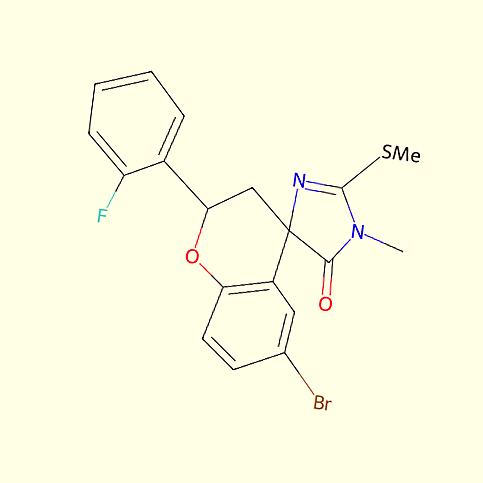 CSC1=NC2(CC(c3ccccc3F)Oc3ccc(Br)cc32)C(=O)N1C